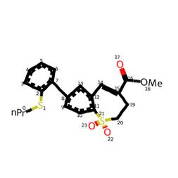 CCCSc1ccccc1-c1ccc2c(c1)C=C(C(=O)OC)CCS2(=O)=O